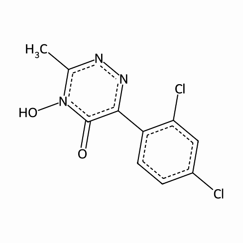 Cc1nnc(-c2ccc(Cl)cc2Cl)c(=O)n1O